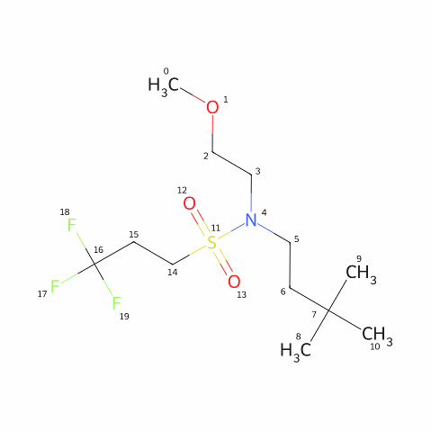 COCCN(CCC(C)(C)C)S(=O)(=O)CCC(F)(F)F